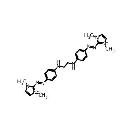 Cn1cc[n+](C)c1/N=N/c1ccc(NCCNc2ccc(/N=N/c3n(C)cc[n+]3C)cc2)cc1